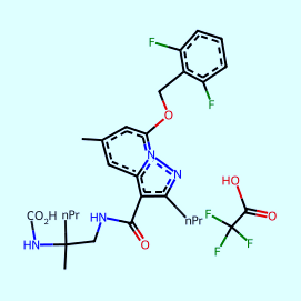 CCCc1nn2c(OCc3c(F)cccc3F)cc(C)cc2c1C(=O)NCC(C)(CCC)NC(=O)O.O=C(O)C(F)(F)F